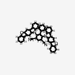 N#Cc1cc(C#N)c(-n2c3ccccc3c3cc4oc5ccccc5c4cc32)c(-c2ccccc2)c1-n1c2ccccc2c2cc3oc4ccccc4c3cc21